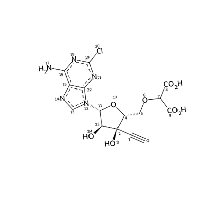 C#C[C@@]1(O)[C@@H](COC(C(=O)O)C(=O)O)O[C@@H](n2cnc3c(N)nc(Cl)nc32)[C@@H]1O